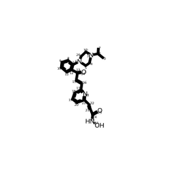 CC(C)N1CCN(c2ccccc2C(=O)/C=C/c2cccc(/C=C/C(=O)NO)n2)CC1